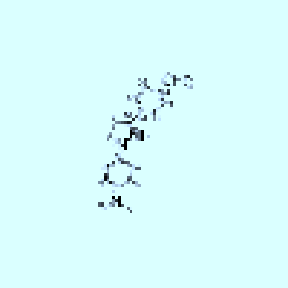 CN(C)c1ccc(N2CC=C(c3ccc(C=O)cc3)N2)cc1